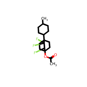 CC(=O)OC12CCC(C3CCC(C)CC3)(CC1)C(F)(F)C2F